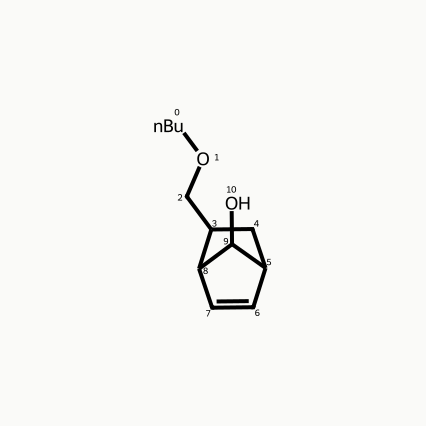 CCCCOCC1CC2C=CC1C2O